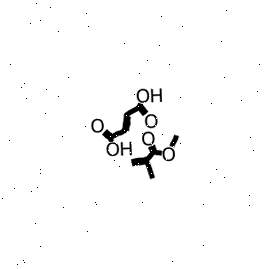 C=C(C)C(=O)OC.O=C(O)C=CC(=O)O